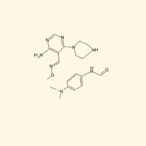 CN(C)c1ccc(NC=O)cc1.CON=Cc1c(N)ncnc1N1CCNCC1